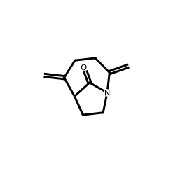 C=C1CCC(=C)N2CCC1C2=O